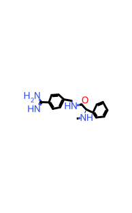 CN[C@H](C(=O)NCc1ccc(C(=N)N)cc1)c1ccccc1